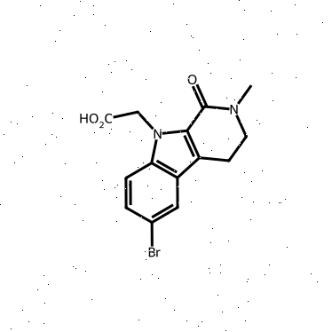 CN1CCc2c(n(CC(=O)O)c3ccc(Br)cc23)C1=O